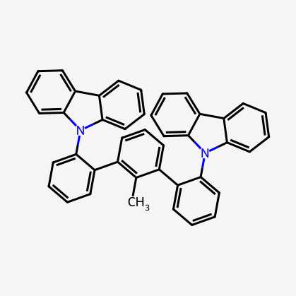 Cc1c(-c2ccccc2-n2c3ccccc3c3ccccc32)cccc1-c1ccccc1-n1c2ccccc2c2ccccc21